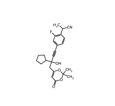 CC(C#N)c1ccc(C#CC(O)(CC2=CC(=O)OC(C)(C)O2)C2CCCC2)cc1F